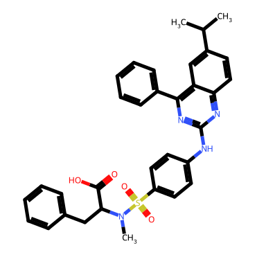 CC(C)c1ccc2nc(Nc3ccc(S(=O)(=O)N(C)C(Cc4ccccc4)C(=O)O)cc3)nc(-c3ccccc3)c2c1